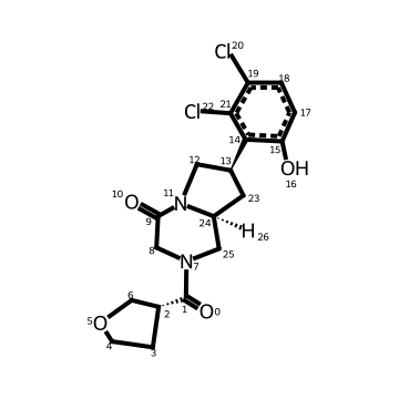 O=C([C@@H]1CCOC1)N1CC(=O)N2C[C@@H](c3c(O)ccc(Cl)c3Cl)C[C@H]2C1